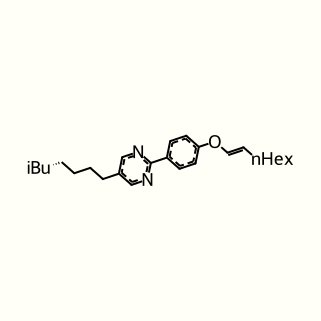 CCCCCC/C=C/Oc1ccc(-c2ncc(CCCC[C@@H](C)CC)cn2)cc1